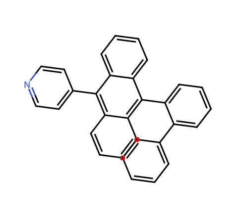 c1ccc(-c2ccccc2-c2c3ccccc3c(-c3ccncc3)c3ccccc23)cc1